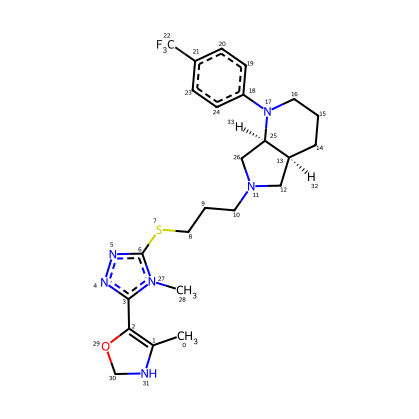 CC1=C(c2nnc(SCCCN3C[C@@H]4CCCN(c5ccc(C(F)(F)F)cc5)[C@@H]4C3)n2C)OCN1